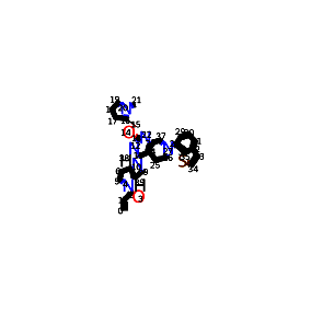 C=CC(=O)N1CC[C@@H]2[C@H]1CN2c1nc(OC[C@@H]2CCCN2C)nc2c1CCN(c1cccc3ccsc13)C2